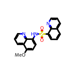 COc1ccc(NS(=O)(=O)c2cccc3cccnc23)c2ncccc12